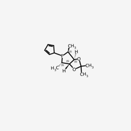 C[C@H]1[C@H]2OC(C)(C)O[C@@H]2[C@H](C)P1C1C=CC=C1